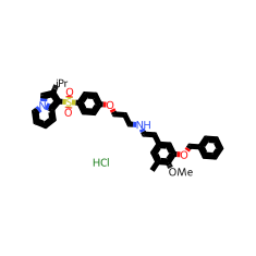 COc1c(C)cc(CCNCCCOc2ccc(S(=O)(=O)c3c(C(C)C)cn4ccccc34)cc2)cc1OCc1ccccc1.Cl